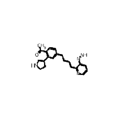 CC(=O)c1ccc(CCCCc2ncccc2N=N)cc1C1CCNC1